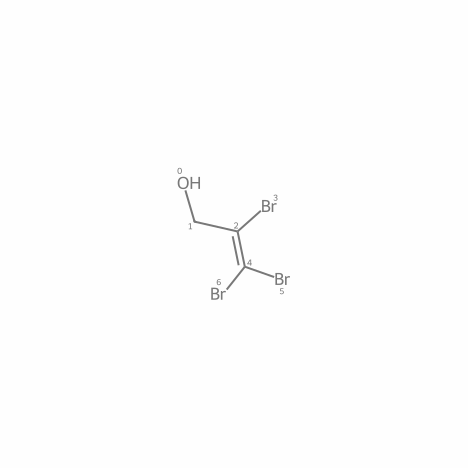 OCC(Br)=C(Br)Br